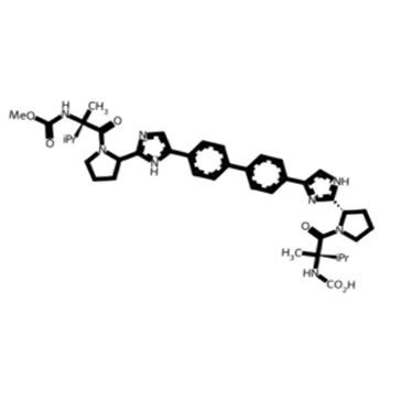 COC(=O)N[C@](C)(C(=O)N1CCCC1c1ncc(-c2ccc(-c3ccc(-c4c[nH]c([C@@H]5CCCN5C(=O)[C@@](C)(NC(=O)O)C(C)C)n4)cc3)cc2)[nH]1)C(C)C